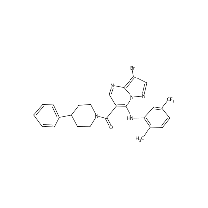 Cc1ccc(C(F)(F)F)cc1Nc1c(C(=O)N2CCC(c3ccccc3)CC2)cnc2c(Br)cnn12